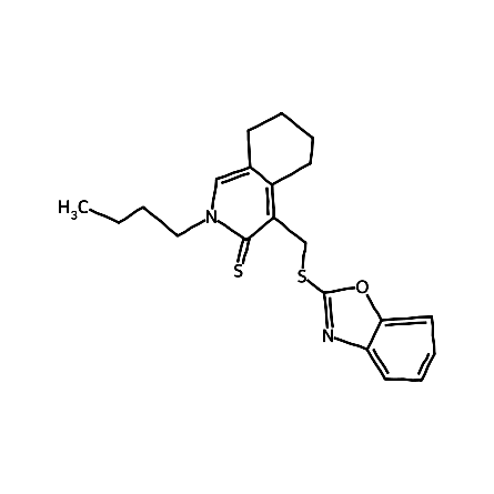 CCCCn1cc2c(c(CSc3nc4ccccc4o3)c1=S)CCCC2